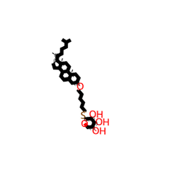 CC(C)CCC[C@@H](C)[C@H]1CCC2C3CC=C4C[C@@H](OCCCCCCS[C@@H]5OC[C@@H](O)[C@H](O)[C@H]5O)CC[C@]4(C)C3CC[C@@]21C